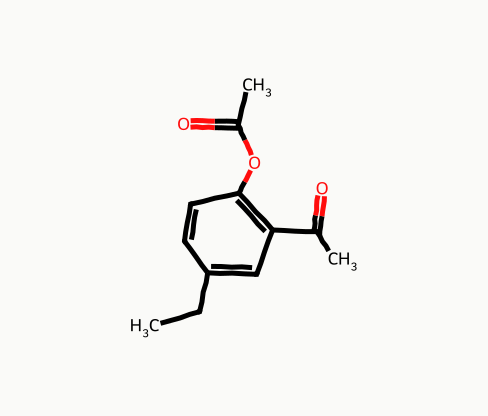 CCc1ccc(OC(C)=O)c(C(C)=O)c1